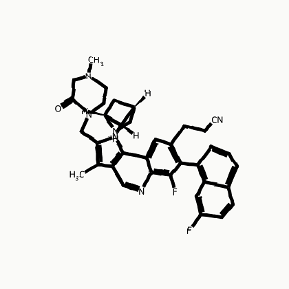 Cc1c(CN2CCN(C)CC2=O)n([C@H]2[C@H]3CN[C@@H]2C3)c2c1cnc1c(F)c(-c3cccc4ccc(F)cc34)c(CCC#N)cc12